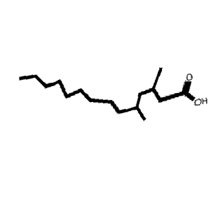 CCCCCCCCCC(C)CC(C)CC(=O)O